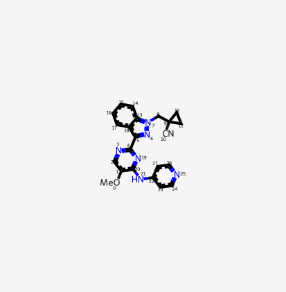 COc1cnc(-c2nn(CC3(C#N)CC3)c3ccccc23)nc1Nc1ccncc1